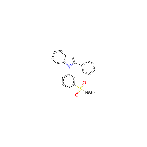 CNS(=O)(=O)c1cccc(-n2c(-c3ccccc3)cc3ccccc32)c1